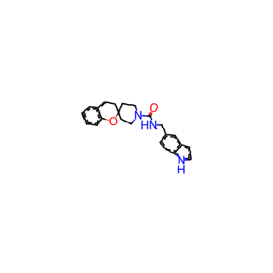 O=C(NCc1ccc2[nH]ccc2c1)N1CCC2(CCc3ccccc3O2)CC1